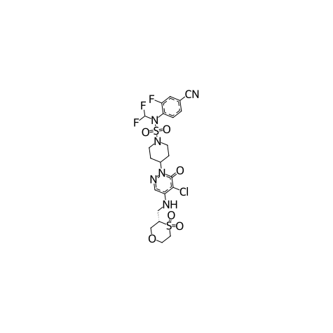 N#Cc1ccc(N(C(F)F)S(=O)(=O)N2CCC(n3ncc(NC[C@H]4COCCS4(=O)=O)c(Cl)c3=O)CC2)c(F)c1